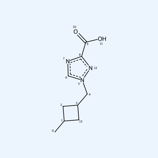 CC1CC(Cn2cnc(C(=O)O)n2)C1